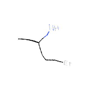 [CH2]CCC(C)[NH]